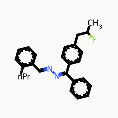 CCCc1ccccc1C=NN=C(c1ccccc1)c1ccc(CC(C)F)cc1